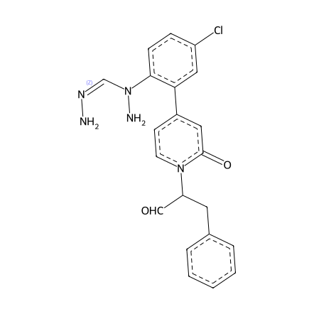 N/N=C\N(N)c1ccc(Cl)cc1-c1ccn(C(C=O)Cc2ccccc2)c(=O)c1